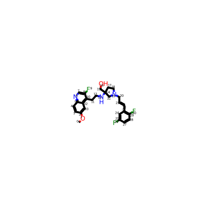 COc1ccc2ncc(F)c(CCNC3(CO)CCN(CC=Cc4cc(F)ccc4F)C3)c2c1